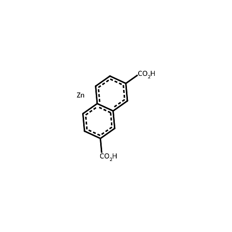 O=C(O)c1ccc2ccc(C(=O)O)cc2c1.[Zn]